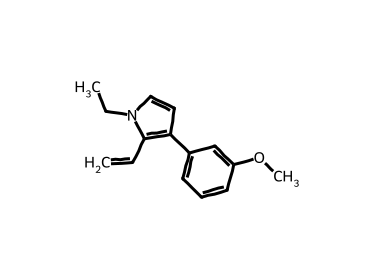 C=Cc1c(-c2cccc(OC)c2)ccn1CC